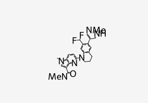 CN/C=C(\C=N)c1cc2c(cc1C(F)F)N(c1ccc3c(n1)c(C(=O)NC)cn3C)CCC2